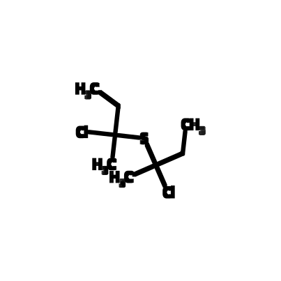 CCC(C)(Cl)SC(C)(Cl)CC